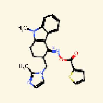 Cc1nccn1CC1CCc2c(c3ccccc3n2C)/C1=N/OC(=O)c1cccs1